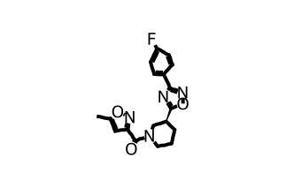 Cc1cc(C(=O)N2CCC[C@H](c3nc(-c4ccc(F)cc4)no3)C2)no1